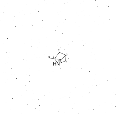 CC12CC(CN1)C2